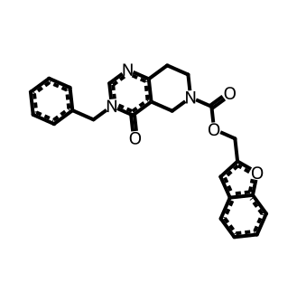 O=C(OCc1cc2ccccc2o1)N1CCc2ncn(Cc3ccccc3)c(=O)c2C1